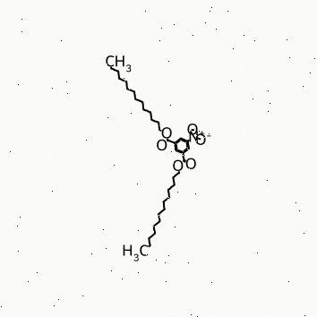 CCCCCCCCCCCCCCOC(=O)c1cc(C(=O)OCCCCCCCCCCCCCC)cc([N+](=O)[O-])c1